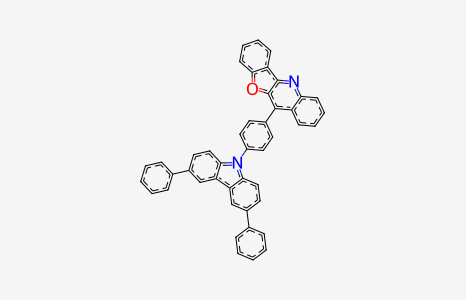 c1ccc(-c2ccc3c(c2)c2cc(-c4ccccc4)ccc2n3-c2ccc(-c3c4ccccc4nc4c3oc3ccccc34)cc2)cc1